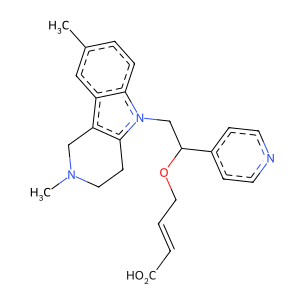 Cc1ccc2c(c1)c1c(n2CC(OCC=CC(=O)O)c2ccncc2)CCN(C)C1